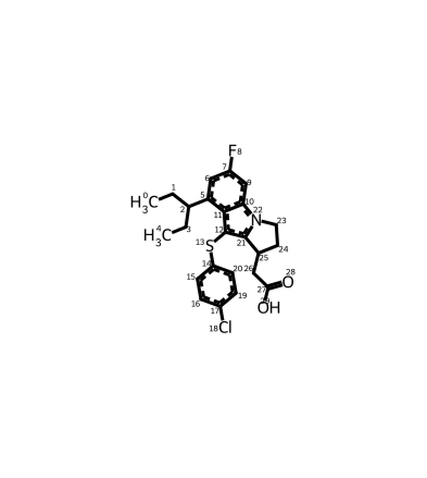 CCC(CC)c1cc(F)cc2c1c(Sc1ccc(Cl)cc1)c1n2CCC1CC(=O)O